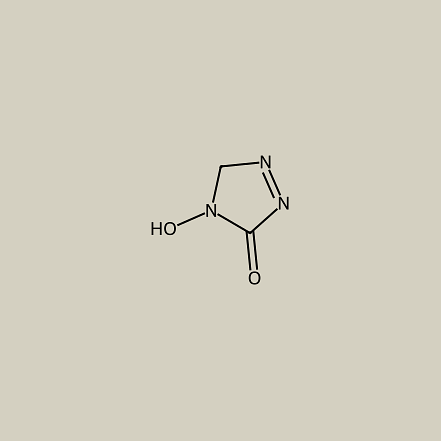 O=C1N=NCN1O